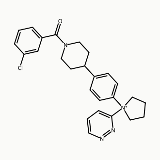 O=C(c1cccc(Cl)c1)N1CCC(c2ccc([N+]3(c4cccnn4)CCCC3)cc2)CC1